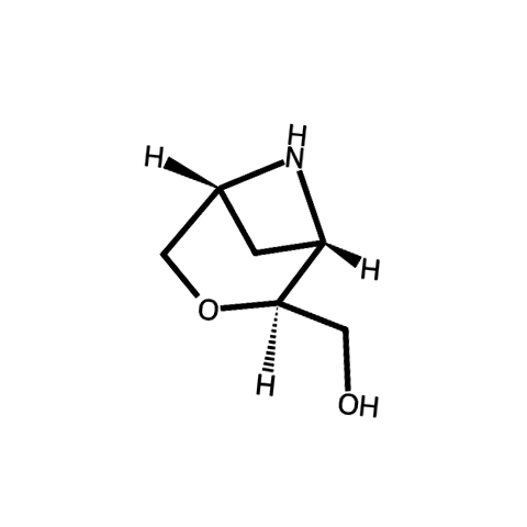 OC[C@H]1OC[C@H]2C[C@@H]1N2